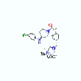 CC(C(=O)N1CCC(Nc2ccc(F)cc2)CC1)c1ccc(CN2C[C@@H](C)[N+](C(=O)[O-])(C(C)(C)C)[C@@H](C)C2)cc1